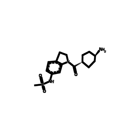 CS(=O)(=O)Nc1ccc2c(c1)N(C(=O)[C@H]1CC[C@H](N)CC1)CC2